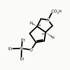 CC[Si](CC)(CC)OC1=C[C@@H]2CN(C(=O)O)C[C@@H]2C1